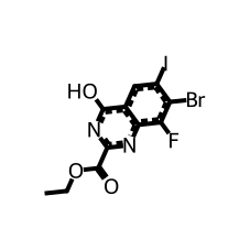 CCOC(=O)c1nc(O)c2cc(I)c(Br)c(F)c2n1